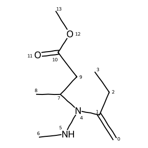 C=C(CC)N(NC)C(C)CC(=O)OC